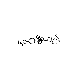 Cc1ccc(S(=O)(=O)OCC2CCC3(CCCC4(C3)SCCS4)C2)cc1